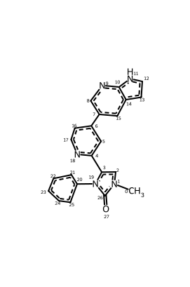 Cn1cc(-c2cc(-c3cnc4[nH]ccc4c3)ccn2)n(-c2ccccc2)c1=O